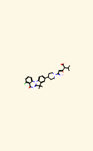 CC(C)C(C(=O)O)c1cc(N2CCC(c3ccc4c(c3)C(C)(C)c3nc(=O)c5c(Cl)cccc5n3-4)CC2)no1